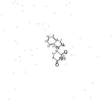 O=C1CCC(n2ncc3ccccc32)C(=O)N1